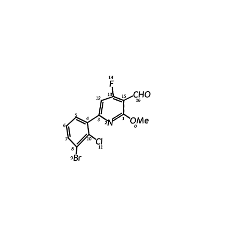 COc1nc(-c2cccc(Br)c2Cl)cc(F)c1C=O